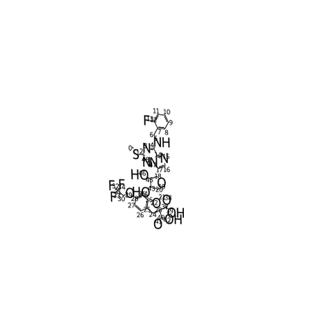 CSc1nc(NCc2ccccc2F)c2ncc([C@@H]3O[C@H](COC(Cc4ccc(OCC(F)(F)F)cc4)(C(=O)O)C(=O)O)[C@@H](O)[C@H]3O)n2n1